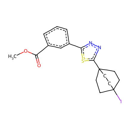 COC(=O)c1cccc(-c2nnc(C34CCC(I)(CC3)CC4)s2)c1